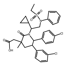 CCS(=O)(=O)N(CC(C1CC1)N1C(=O)C(C)(CC(=O)O)CC(c2cccc(Cl)c2)C1c1ccc(Cl)cc1)c1ccccc1